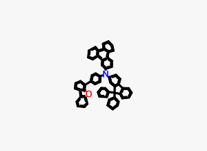 c1ccc(C2(c3ccccc3)c3ccccc3-c3ccc(N(c4ccc(-c5cccc6c5oc5ccccc56)cc4)c4ccc5c6ccccc6c6ccccc6c5c4)cc32)cc1